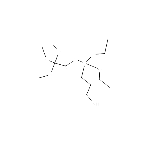 CCO[Si](CCCN)(OCC)OCC(OC)(OC)OC